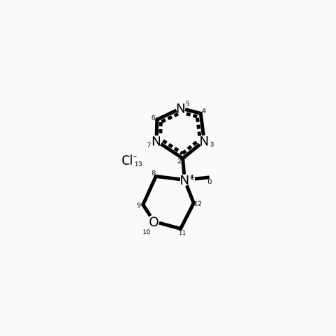 C[N+]1(c2ncncn2)CCOCC1.[Cl-]